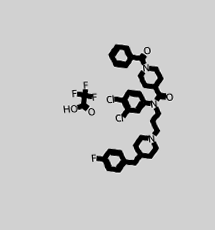 O=C(O)C(F)(F)F.O=C(c1ccccc1)N1CCC(C(=O)N(CCCN2CCC(Cc3ccc(F)cc3)CC2)c2ccc(Cl)c(Cl)c2)CC1